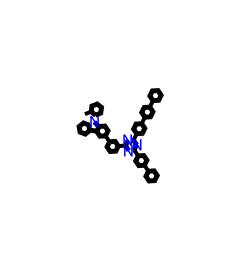 Cc1ccccc1-n1c2ccccc2c2cc(-c3cccc(-c4nc(-c5ccc(-c6ccccc6)cc5)nc(-c5ccc(-c6ccc(-c7ccccc7)cc6)cc5)n4)c3)ccc21